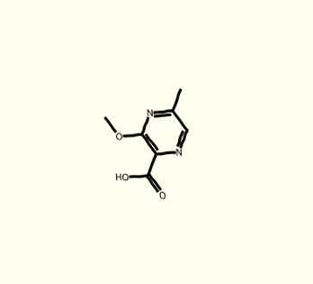 COc1nc(C)cnc1C(=O)O